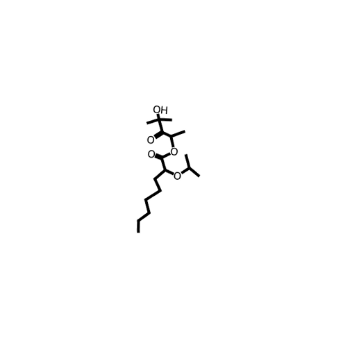 CCCCCCC(OC(C)C)C(=O)OC(C)C(=O)C(C)(C)O